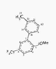 COc1ccc(C(F)(F)F)cc1-c1[c]ccc(C)c1